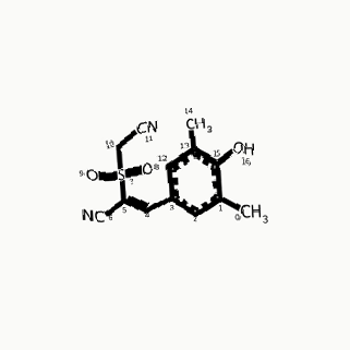 Cc1cc(C=C(C#N)S(=O)(=O)CC#N)cc(C)c1O